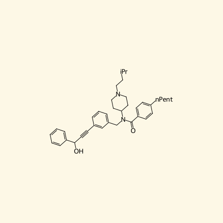 CCCCCc1ccc(C(=O)N(Cc2cccc(C#CC(O)c3ccccc3)c2)C2CCN(CCC(C)C)CC2)cc1